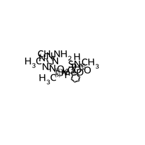 COC(=O)[C@@H](C)NP(=S)(OC[C@]1(F)C[C@H](C)[C@H](n2cnc3c(N(C)C)nc(N)nc32)O1)Oc1ccccc1